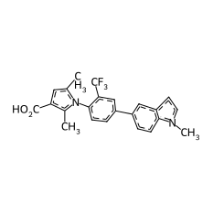 Cc1cc(C(=O)O)c(C)n1-c1ccc(-c2ccc3c(ccn3C)c2)cc1C(F)(F)F